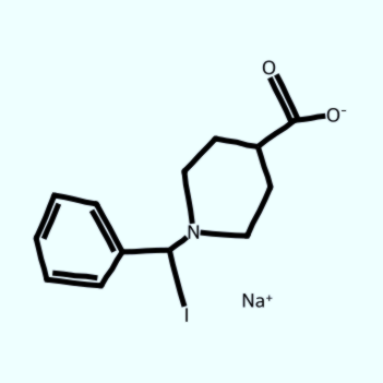 O=C([O-])C1CCN(C(I)c2ccccc2)CC1.[Na+]